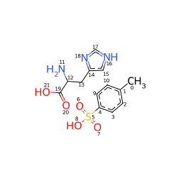 Cc1ccc(S(=O)(=O)O)cc1.NC(Cc1c[nH]cn1)C(=O)O